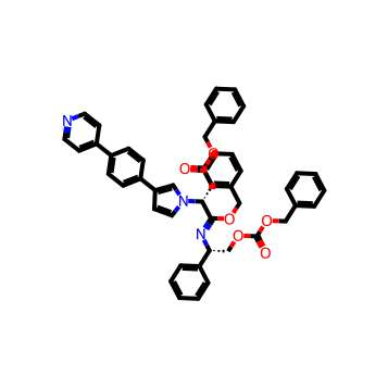 O=C(C[C@H](C(=N[C@H](COC(=O)OCc1ccccc1)c1ccccc1)OCc1ccccc1)n1ccc(-c2ccc(-c3ccncc3)cc2)c1)OCc1ccccc1